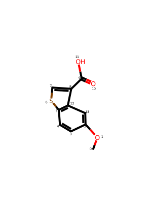 COc1ccc2scc(C(=O)O)c2c1